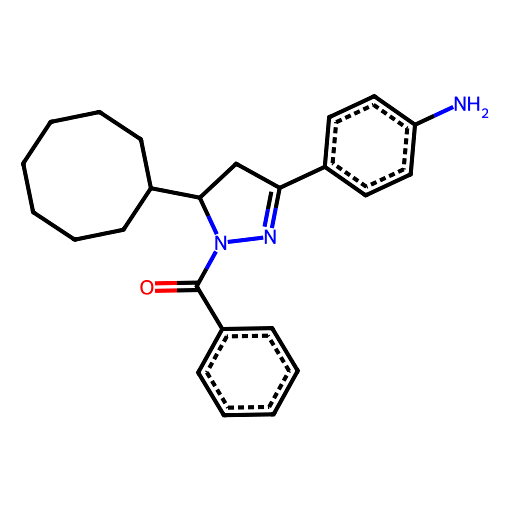 Nc1ccc(C2=NN(C(=O)c3ccccc3)C(C3CCCCCCC3)C2)cc1